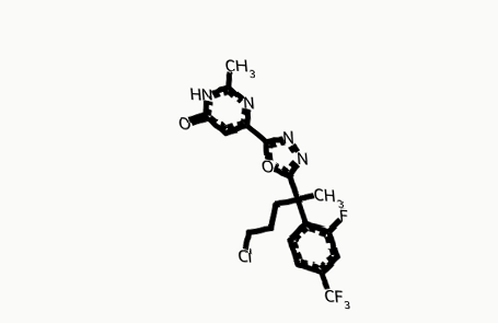 Cc1nc(-c2nnc(C(C)(CCCCl)c3ccc(C(F)(F)F)cc3F)o2)cc(=O)[nH]1